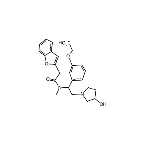 CN(C(=O)Cc1cc2ccccc2o1)C(CN1CCC(O)C1)c1cccc(OCC(=O)O)c1